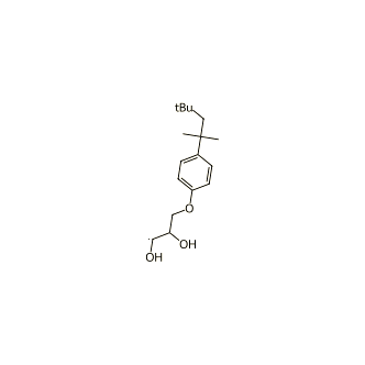 CC(C)(C)CC(C)(C)c1ccc(OCC(O)[CH]O)cc1